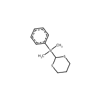 C[Si](C)(c1ccccc1)C1SCCCS1